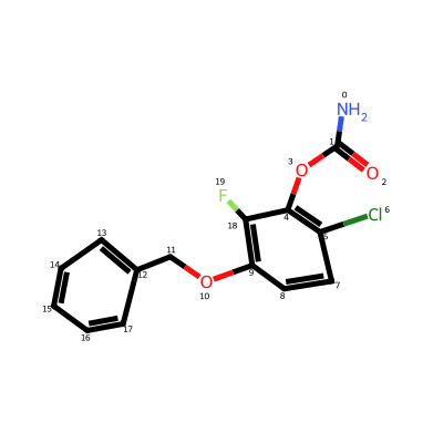 NC(=O)Oc1c(Cl)ccc(OCc2ccccc2)c1F